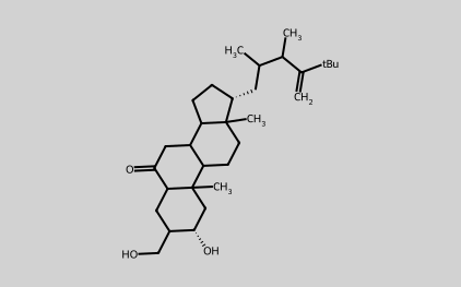 C=C(C(C)C(C)C[C@H]1CCC2C3CC(=O)C4CC(CO)[C@@H](O)CC4(C)C3CCC21C)C(C)(C)C